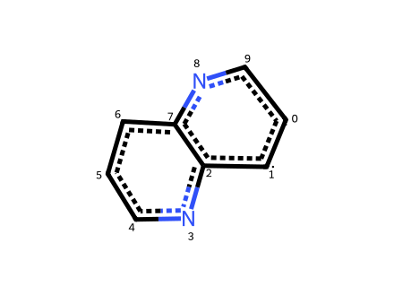 [c]1[c]c2ncccc2nc1